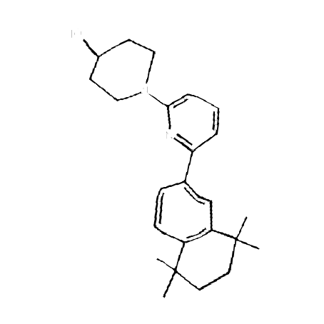 CC1(C)CCC(C)(C)c2cc(-c3cccc(N4CCC(O)CC4)n3)ccc21